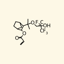 C=CC(=O)OC1C2CCC(C2)C1C(C)(C)OCC(O)(C(F)(F)F)C(F)(F)F